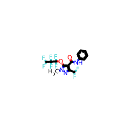 Cn1nc(C(F)F)c(C(=O)Nc2ccccc2)c1OC(F)(F)C(F)(F)C(F)F